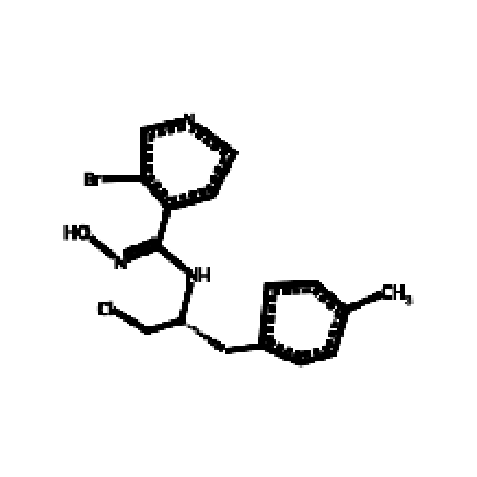 Cc1ccc(C[C@H](CCl)NC(=NO)c2ccncc2Br)cc1